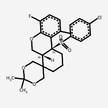 CC1(C)OCC2(CCC[C@@]3(S(=O)(=O)c4ccc(Cl)cc4)c4c(F)ccc(F)c4OC[C@@H]23)CO1